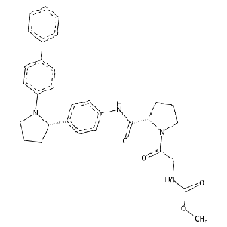 COC(=O)NCC(=O)N1CCC[C@H]1C(=O)Nc1ccc([C@@H]2CCCN2c2ccc(-c3ccccc3)cc2)cc1